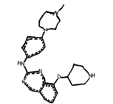 CN1CCN(c2ccc(Nc3ncc4cccc(OC5CCNCC5)c4n3)cc2)CC1